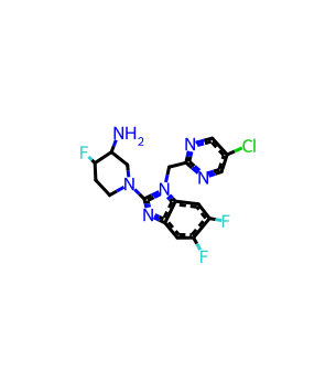 NC1CN(c2nc3cc(F)c(F)cc3n2Cc2ncc(Cl)cn2)CCC1F